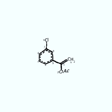 C=C(OC(C)=O)c1cccc(Cl)c1